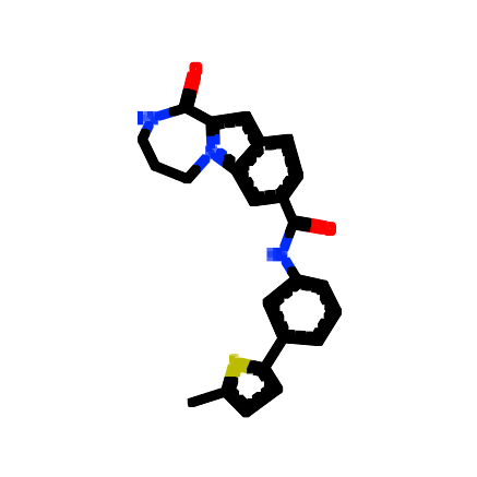 Cc1ccc(-c2cccc(NC(=O)c3ccc4cc5n(c4c3)CCCNC5=O)c2)s1